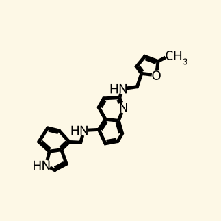 Cc1ccc(CNc2ccc3c(NCc4cccc5[nH]ccc45)cccc3n2)o1